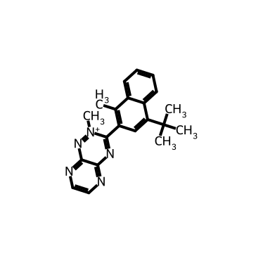 Cc1c(-c2nc3nccnc3n[n+]2C)cc(C(C)(C)C)c2ccccc12